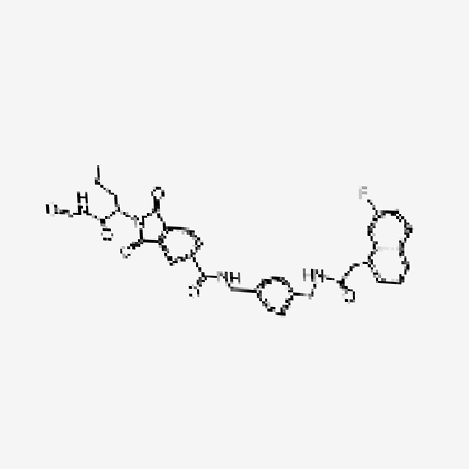 CCCC(C(=O)NC=O)N1C(=O)c2ccc(C(=O)NCc3ccc(CNC(=O)Cc4cccc5ccc(F)cc45)cc3)cc2C1=O